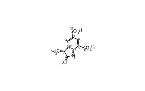 C=C1C(=O)N=C2C(S(=O)(=O)O)=CC(S(=O)(=O)O)=CN12